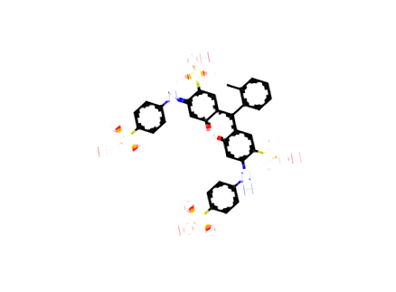 Cc1ccccc1-c1c2cc(S(=O)(=O)O)/c(=N/c3ccc(S(=O)(=O)O)cc3)cc-2oc2cc(Nc3ccc(S(=O)(=O)O)cc3)c(S(=O)(=O)O)cc12